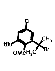 COc1c(C(C)(C)C)cc(Cl)cc1C(C)(C)Br